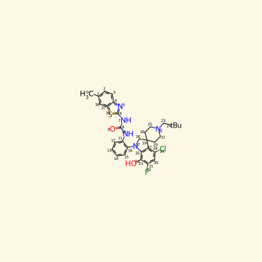 Cc1ccc2nc(NC(=O)Nc3ccccc3N3CC4(CCN(CC(C)(C)C)CC4)c4c(Cl)cc(F)c(O)c43)sc2c1